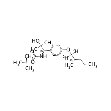 [2H]C([2H])(Oc1ccc([C@@H](NC(=O)OC(C)(C)C)C(C)(C)O)cc1)[C@@H](C)CCC